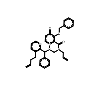 C=CCCc1cccnc1C(c1ccccc1)N1CN(CC=C)C(=O)c2c(OCc3ccccc3)c(=O)ccn21